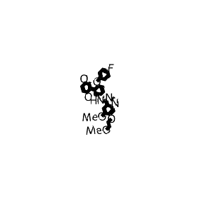 COCCOc1cc2ncnc(Nc3ccc(Oc4ccc(F)cc4)c(C4=CC(=O)C=CC4=O)c3)c2cc1OC